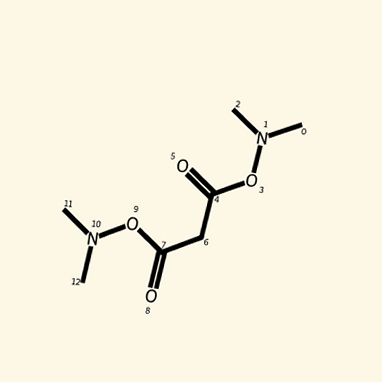 CN(C)OC(=O)CC(=O)ON(C)C